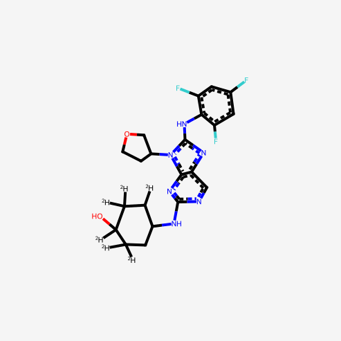 [2H]C1C(Nc2ncc3nc(Nc4c(F)cc(F)cc4F)n(C4CCOC4)c3n2)CC([2H])([2H])C([2H])(O)C1([2H])[2H]